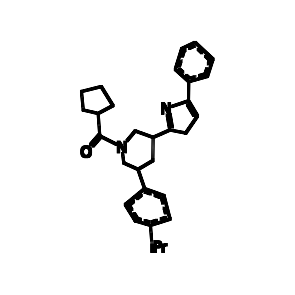 CC(C)c1ccc(C2CC(C3=NC(c4ccccc4)=CC3)CN(C(=O)C3CCCC3)C2)cc1